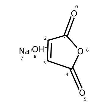 O=C1C=CC(=O)O1.[Na+].[OH-]